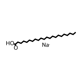 CCCCCCCCCCCCCCCCCCCCCC(=O)O.[Na]